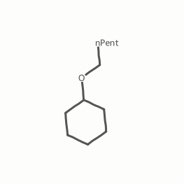 CCCCCCOC1CCCCC1